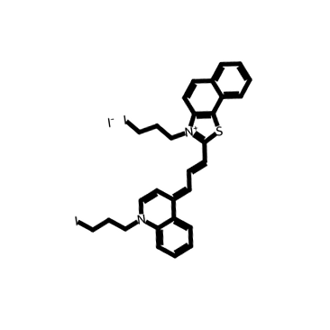 ICCCN1C=CC(=CC=Cc2sc3c4ccccc4ccc3[n+]2CCCI)c2ccccc21.[I-]